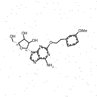 COc1cccc(CCOc2nc(N)c3ncn([C@@H]4O[C@H](CO)C(O)C4O)c3n2)c1